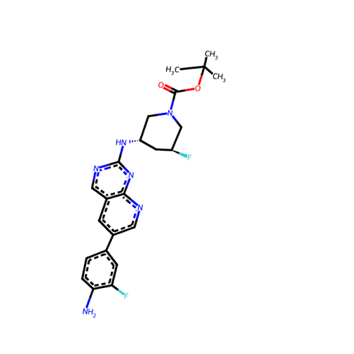 CC(C)(C)OC(=O)N1C[C@@H](F)C[C@H](Nc2ncc3cc(-c4ccc(N)c(F)c4)cnc3n2)C1